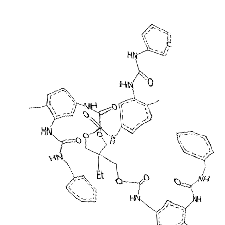 CCC(COC(=O)Nc1ccc(C)c(NC(=O)Nc2ccccc2)c1)(COC(=O)Nc1ccc(C)c(NC(=O)Nc2ccccc2)c1)COC(=O)Nc1ccc(C)c(NC(=O)Nc2ccccc2)c1